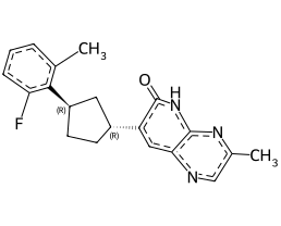 Cc1cnc2cc([C@@H]3CC[C@@H](c4c(C)cccc4F)C3)c(=O)[nH]c2n1